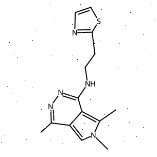 Cc1nnc(NCCc2nccs2)c2c(C)n(C)cc12